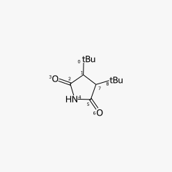 CC(C)(C)C1C(=O)NC(=O)C1C(C)(C)C